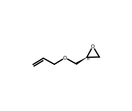 C=CCOC[C@@H]1CO1